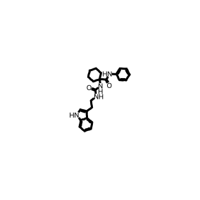 O=C(NCCc1c[nH]c2ccccc12)NC1(C(=O)Nc2ccccc2)CCCCC1